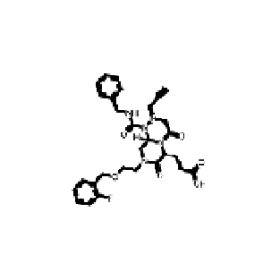 C#CCN1CC(=O)N2[C@@H](CCC(=O)O)C(=O)N(CCOCc3ccccc3F)C[C@@H]2N1C(=O)NCc1ccccc1